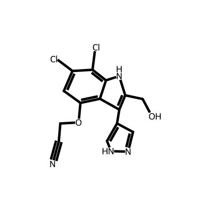 N#CCOc1cc(Cl)c(Cl)c2[nH]c(CO)c(-c3cn[nH]c3)c12